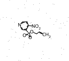 C=CCOS(=O)(=O)c1cnccc1[N+](=O)[O-]